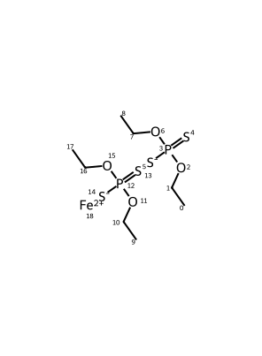 CCOP(=S)([S-])OCC.CCOP(=S)([S-])OCC.[Fe+2]